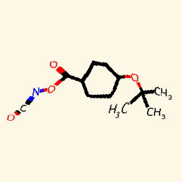 CC(C)(C)OC1CCC(C(=O)ON=C=O)CC1